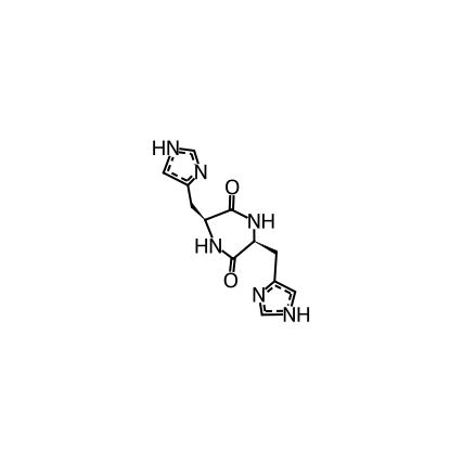 O=C1N[C@@H](Cc2c[nH]cn2)C(=O)N[C@H]1Cc1c[nH]cn1